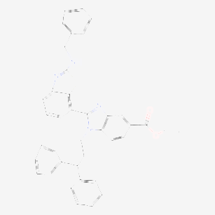 COC(=O)c1ccc2c(c1)nc(-c1cccc3nc(NCc4ccccc4)sc13)n2CCC(c1ccccc1)c1ccccc1